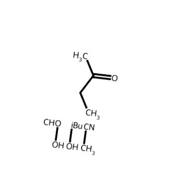 CC#N.CCC(C)=O.CCC(C)O.O=CO